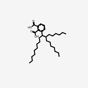 CCCCCCCCCC(c1cccc(C(=O)O)c1C(=O)O)C(CCCCCC)CCCCCCC